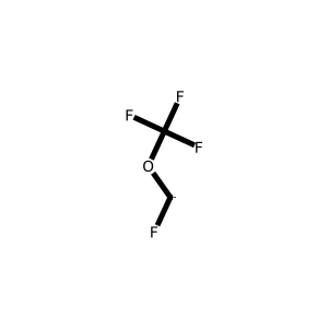 F[CH]OC(F)(F)F